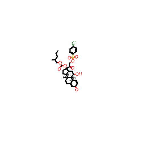 CCCC(C)COC(=O)O[C@]1(C(=O)COS(=O)(=O)c2ccc(Cl)cc2)CC[C@H]2[C@@H]3CCC4=CC(=O)C=C[C@]4(C)[C@H]3C(O)C[C@@]21C